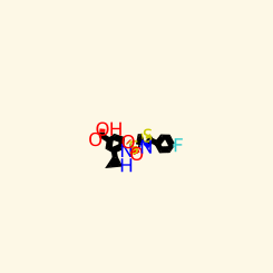 O=C(O)c1ccc(NS(=O)(=O)c2csc(-c3ccc(F)cc3)n2)c(C2CC2)c1